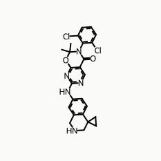 CC1(C)Oc2nc(Nc3ccc4c(c3)CNCC43CC3)ncc2C(=O)N1c1c(Cl)cccc1Cl